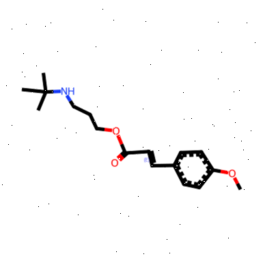 COc1ccc(/C=C/C(=O)OCCCNC(C)(C)C)cc1